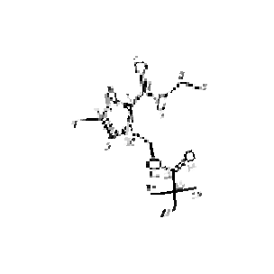 CCOC(=O)c1nc(C)cn1COC(=O)C(C)(C)C